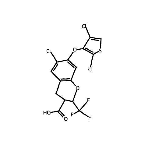 O=C(O)C1Cc2cc(Cl)c(Oc3c(Cl)csc3Cl)cc2OC1C(F)(F)F